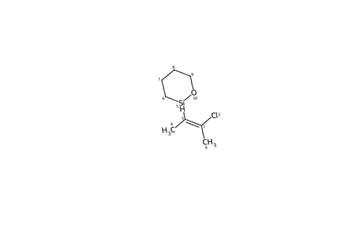 CC(Cl)=C(C)[SiH]1CCCCO1